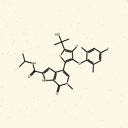 Cc1cc(F)cc(C)c1Oc1c(-c2cn(C)c(=O)c3[nH]c(C(=O)NC(C)C)cc23)sc(C(C)(C)O)c1F